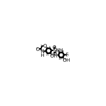 O=C1COc2cc(S(=O)(=O)Nc3ccc(O)c(F)c3)c(O)cc2N1